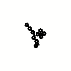 c1ccc(-c2ccc(-c3ccc(N(c4ccc(C5(c6ccccc6)c6ccccc6-c6ccccc65)cc4)c4cccc(-c5ccc6sc7ccccc7c6c5)c4)cc3)cc2)cc1